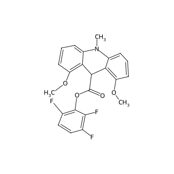 COc1cccc2c1C(C(=O)Oc1c(F)ccc(F)c1F)c1c(OC)cccc1N2C